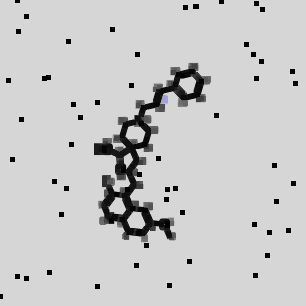 COc1ccc2ncc(F)c(CCCC3(C(=O)O)CCN(C/C=C/c4ccccc4)CC3)c2c1